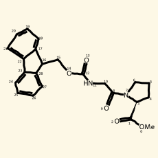 COC(=O)[C@@H]1CCCN1C(=O)CNC(=O)OCC1c2ccccc2-c2ccccc21